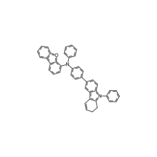 C1=Cc2c(n(-c3ccccc3)c3ccc(-c4ccc(N(c5ccccc5)c5cccc6c5oc5ccccc56)cc4)cc23)CC1